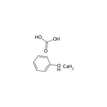 O=C(O)O.Oc1ccccc1.[CaH2]